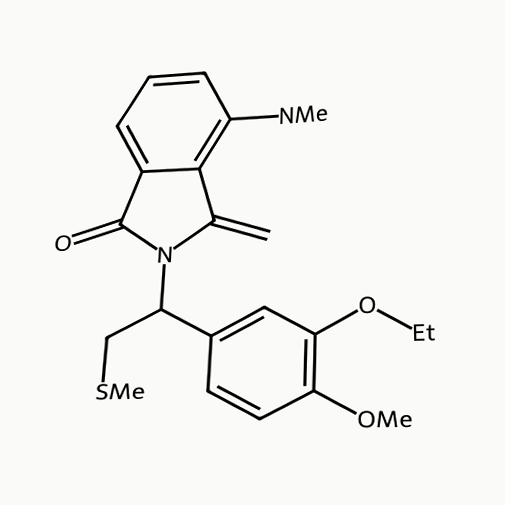 C=C1c2c(NC)cccc2C(=O)N1C(CSC)c1ccc(OC)c(OCC)c1